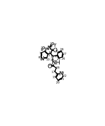 CC(C)N(C(=O)C(c1cccnc1)[C@H](CNC(=O)CCc1ccccn1)c1ccccc1)C(C)C